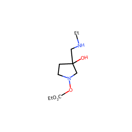 CCNCC1(O)CCN(OC(=O)OCC)C1